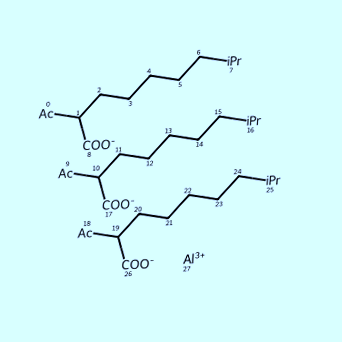 CC(=O)C(CCCCCC(C)C)C(=O)[O-].CC(=O)C(CCCCCC(C)C)C(=O)[O-].CC(=O)C(CCCCCC(C)C)C(=O)[O-].[Al+3]